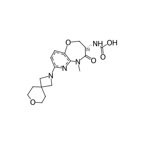 CN1C(=O)[C@@H](NC(=O)O)COc2ccc(N3CC4(CCOCC4)C3)nc21